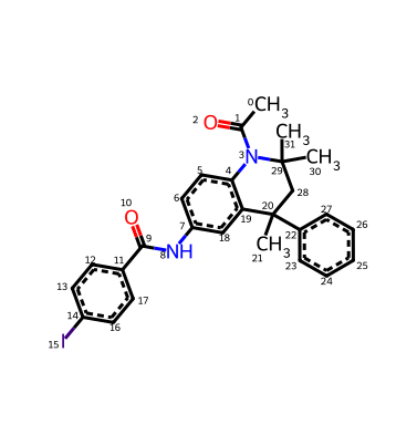 CC(=O)N1c2ccc(NC(=O)c3ccc(I)cc3)cc2C(C)(c2ccccc2)CC1(C)C